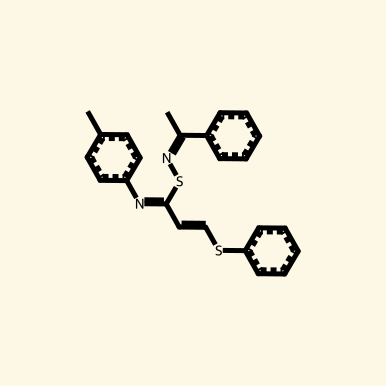 CC(=NSC(C=CSc1ccccc1)=Nc1ccc(C)cc1)c1ccccc1